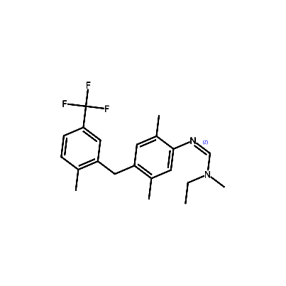 CCN(C)/C=N\c1cc(C)c(Cc2cc(C(F)(F)F)ccc2C)cc1C